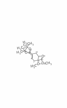 COC(=O)C1(OC)CC=C(B2OC(C)(C)C(C)(C)O2)CC1